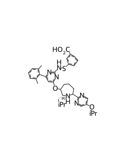 Cc1cccc(C)c1-c1cc(OC2CCCC(c3ncc(OC(C)C)cn3)N[C@@H]2CC(C)C)nc(NSc2cccc(C(=O)O)c2)n1